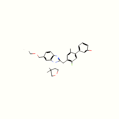 COCOCc1ccc2nc(Cc3cc(C)c(-c4cccc(O)c4)cc3F)n([C@@H]3COCC3(C)C)c2c1